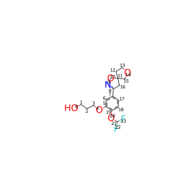 OCCCOc1cc(C2=NOC3(CCOC3)C2)ccc1OC(F)F